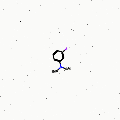 CNN(OC(C)=O)c1cccc(I)c1